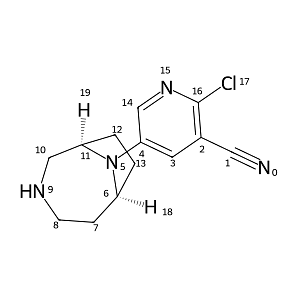 N#Cc1cc(N2[C@@H]3CCNC[C@H]2CC3)cnc1Cl